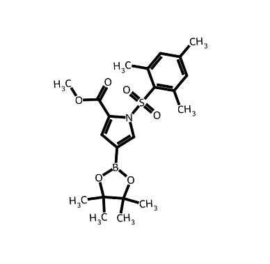 COC(=O)c1cc(B2OC(C)(C)C(C)(C)O2)cn1S(=O)(=O)c1c(C)cc(C)cc1C